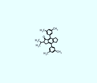 Cc1cc(C)cc(-c2c3c(c(-c4cc(C)cc(C)c4)c4c2CC(C(C)C)C4=O)CCC3)c1